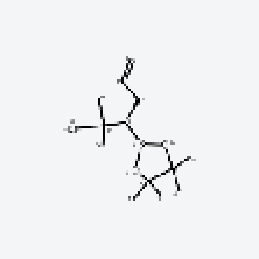 C=CC[C@@H](B1OC(C)(C)C(C)(C)O1)C(C)(C)O